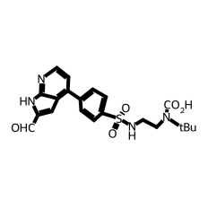 CC(C)(C)N(CCNS(=O)(=O)c1ccc(-c2ccnc3[nH]c(C=O)cc23)cc1)C(=O)O